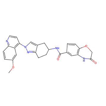 COc1ccc2nccc(-n3cc4c(n3)CCC(NC(=O)c3ccc5c(c3)NC(=O)CO5)C4)c2c1